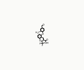 Cc1cc(C=O)ccc1Oc1cccc2c1C=C(C(=O)O)C(C(F)(F)F)O2